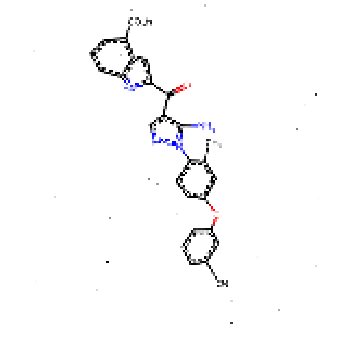 Cc1cc(Oc2cccc(C#N)c2)ccc1-n1ncc(C(=O)c2cc3c(C(=O)O)cccc3[nH]2)c1N